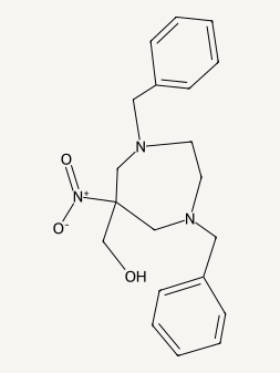 O=[N+]([O-])C1(CO)CN(Cc2ccccc2)CCN(Cc2ccccc2)C1